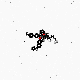 CC(C)(C)OC(=O)NC1CC2CCC(C1)N2C(=O)C(NS(=O)(=O)c1ccc2cc(OC3CCCC3)ccc2c1)C(F)(F)c1ccc(-c2ccc(F)cc2)cc1